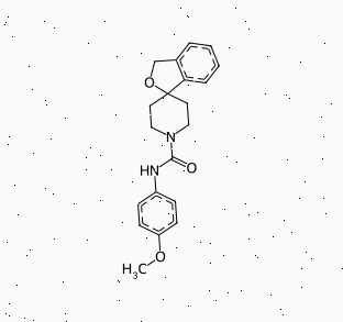 COc1ccc(NC(=O)N2CCC3(CC2)OCc2ccccc23)cc1